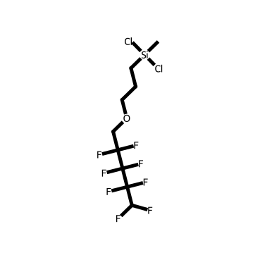 C[Si](Cl)(Cl)CCCOCC(F)(F)C(F)(F)C(F)(F)C(F)F